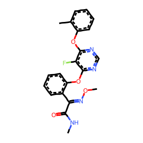 CNC(=O)/C(=N/OC)c1ccccc1Oc1ncnc(Oc2ccccc2C)c1F